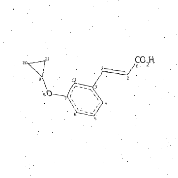 O=C(O)C=Cc1cccc(OC2CC2)c1